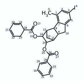 Cc1cc(I)cc2c1C1C(C2)C2CC1C(OC(=O)C1C=CC=CC1)C2OC(=O)c1ccccc1